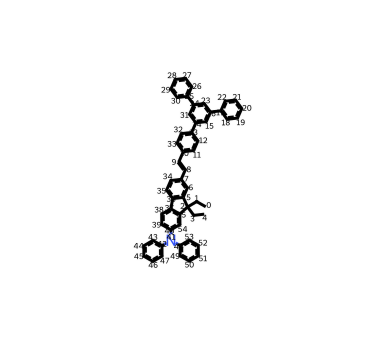 CCC1(CC)c2cc(/C=C/c3ccc(-c4cc(-c5ccccc5)cc(-c5ccccc5)c4)cc3)ccc2-c2ccc(N(c3ccccc3)c3ccccc3)cc21